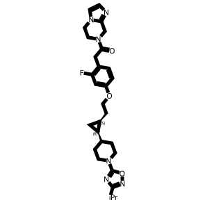 CC(C)c1noc(N2CCC([C@H]3C[C@H]3CCOc3ccc(CC(=O)N4CCn5ccnc5C4)c(F)c3)CC2)n1